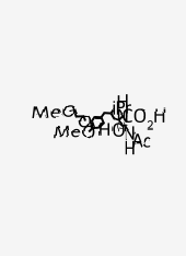 COCCCOc1cc(CC(CC(NC(=O)O)[C@@H](O)CNCC(C)=O)C(C)C)ccc1OC